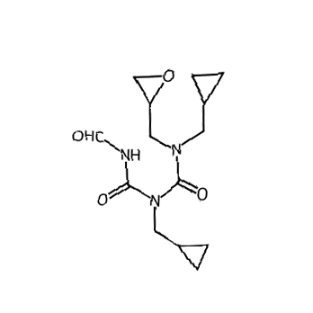 O=CNC(=O)N(CC1CC1)C(=O)N(CC1CC1)CC1CO1